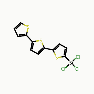 Cl[Si](Cl)(Cl)c1ccc(-c2ccc(-c3cccs3)s2)s1